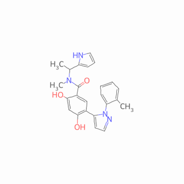 Cc1ccccc1-n1nccc1-c1cc(C(=O)N(C)C(C)c2ccc[nH]2)c(O)cc1O